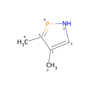 Cc1c[nH]pc1C